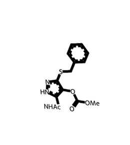 COC(=O)Oc1c(SCc2ccccc2)n[nH]c1NC(C)=O